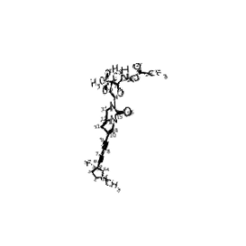 CN1CC[C@@](F)(C#CC#Cc2cc3n(c2)C(=O)N(CC[C@](C)(C(=O)NOC(=O)C(F)(F)F)S(C)(=O)=O)C3)C1